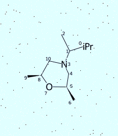 CC(C)C(C)N1C[C@@H](C)O[C@@H](C)C1